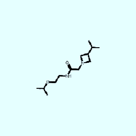 CC(C)OCCNC(=O)CN1CC(C(C)C)C1